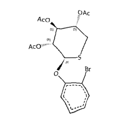 CC(=O)O[C@@H]1[C@@H](OC(C)=O)[C@H](OC(C)=O)CS[C@H]1Oc1ccccc1Br